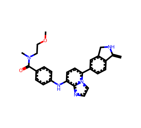 C=C1NCc2cc(-c3ccc(Nc4ccc(C(=O)N(C)CCOC)cc4)c4nccn34)ccc21